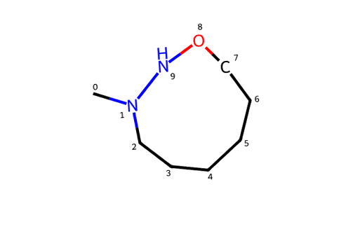 CN1CCCCCCON1